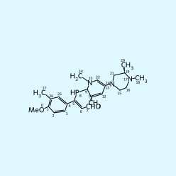 COc1ccc(/C(=C/C=O)PC2C(C)=CC(N3CCN(C)[C@H](C)C3)=CN2C)cc1C